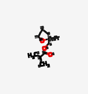 C=C(C)C(=O)OCC1(CCC)CCCO1